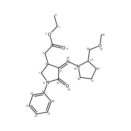 CCOC(=O)CC1CN(c2ccccc2)C(=O)C1=NN1CCCC1COC